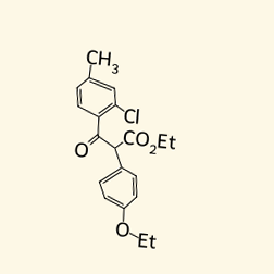 CCOC(=O)C(C(=O)c1ccc(C)cc1Cl)c1ccc(OCC)cc1